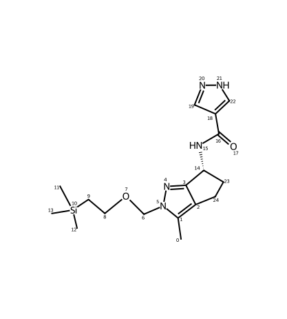 Cc1c2c(nn1COCC[Si](C)(C)C)[C@H](NC(=O)c1cn[nH]c1)CC2